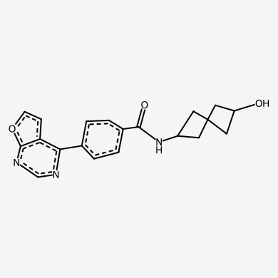 O=C(NC1CC2(CC(O)C2)C1)c1ccc(-c2ncnc3occc23)cc1